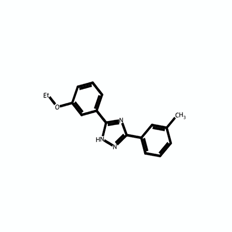 CCOc1cccc(-c2nc(-c3cccc(C)c3)n[nH]2)c1